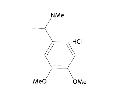 CNC(C)c1ccc(OC)c(OC)c1.Cl